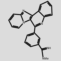 CNC(=N)c1cccc(-c2nc3ccccc3c3nc4ccccn4c23)c1